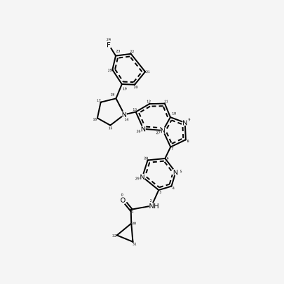 O=C(Nc1cnc(-c2cnc3ccc(N4CCCC4c4cccc(F)c4)nn23)cn1)C1CC1